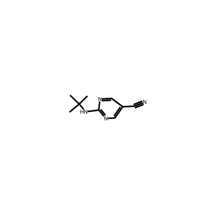 CC(C)(C)Nc1ncc(C#N)cn1